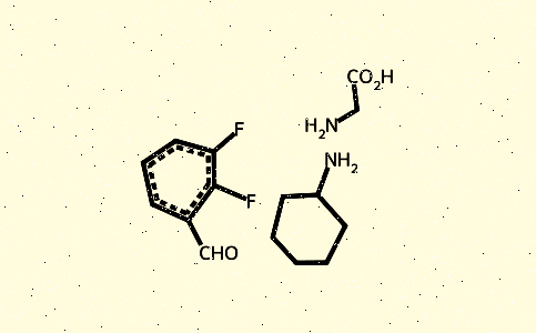 NC1CCCCC1.NCC(=O)O.O=Cc1cccc(F)c1F